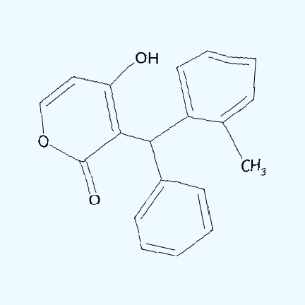 Cc1ccccc1C(c1ccccc1)c1c(O)ccoc1=O